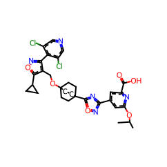 CC(C)Oc1cc(-c2noc(C34CCC(OCc5c(-c6c(Cl)cncc6Cl)noc5C5CC5)(CC3)CC4)n2)cc(C(=O)O)n1